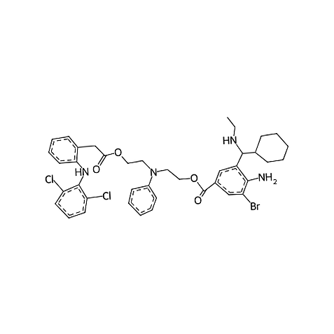 CCNC(c1cc(C(=O)OCCN(CCOC(=O)Cc2ccccc2Nc2c(Cl)cccc2Cl)c2ccccc2)cc(Br)c1N)C1CCCCC1